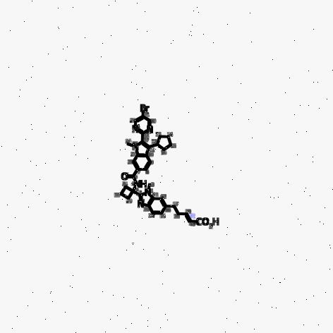 Cn1c(C2(NC(=O)c3ccc4c(C5CCCC5)c(-c5ncc(Br)cn5)n(C)c4c3)CCC2)nc2ccc(CC/C=C/C(=O)O)cc21